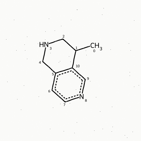 CC1CNCc2ccncc21